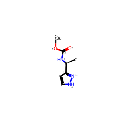 C[C@H](NC(=O)OC(C)(C)C)c1cc[nH]n1